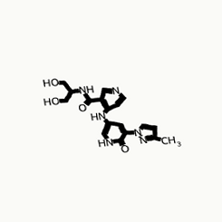 Cc1ccn(-c2cc(Nc3ccncc3C(=O)NC(CO)CO)c[nH]c2=O)n1